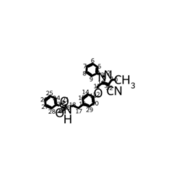 Cc1nn(-c2ccccc2)c(COc2ccc(CCNS(=O)(=O)c3ccccc3)cc2)c1C#N